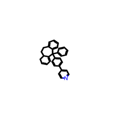 C1=CCC2CCc3ccccc3C(c3ccccc3)(c3ccc(-c4ccncc4)cc3)C2=C1